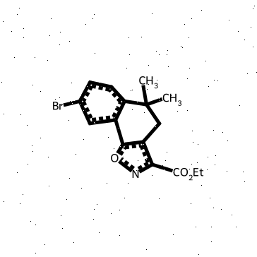 CCOC(=O)c1noc2c1CC(C)(C)c1ccc(Br)cc1-2